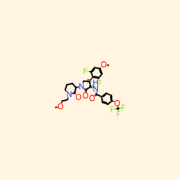 COCCN1CCCC(N2C[C@@H](c3c(F)cc(OC)cc3F)[C@H](NC(=O)c3ccc(OC(F)(F)F)cc3)C2=O)C1=O